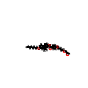 CCCCCCCCOc1ccc2c(c1)C(C)(C)c1cc(OC(=O)c3ccc(OCCCCOCC4CO4)cc3)ccc1-2